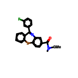 CON(C)C(=O)c1ccc2c(c1)N=C(c1cccc(F)c1)c1ccccc1S2